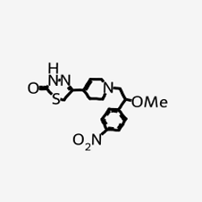 COC(CN1CC=C(C2=NNC(=O)SC2)CC1)c1ccc([N+](=O)[O-])cc1